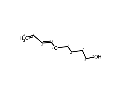 C=CC=COCCCCO